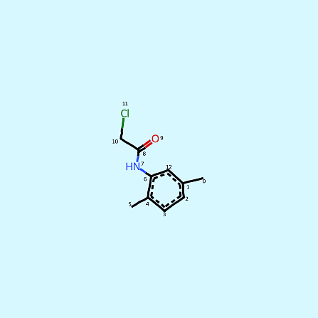 Cc1ccc(C)c(NC(=O)CCl)c1